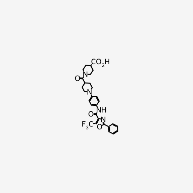 O=C(Nc1ccc(N2CCC(C(=O)N3CCC(C(=O)O)CC3)CC2)cc1)c1nc(-c2ccccc2)oc1C(F)(F)F